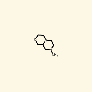 NN1CCN2CCOCC2C1